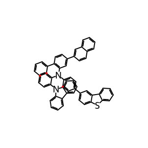 c1ccc(-c2ccc(-c3ccc4ccccc4c3)cc2N(c2ccc(-c3ccc4sc5ccccc5c4c3)cc2)c2ccccc2-n2c3ccccc3c3ccccc32)cc1